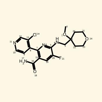 COC1(CNc2nc(-c3c[c]ncc3Cl)c(C(N)=O)cc2F)CCOCC1